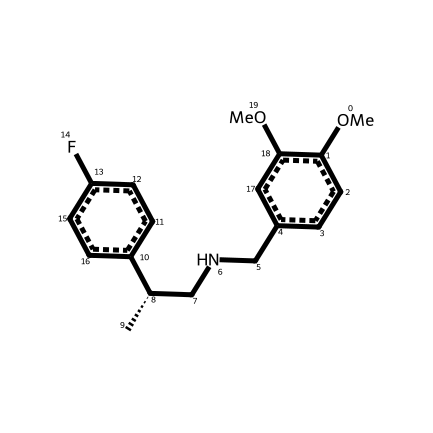 COc1ccc(CNC[C@H](C)c2ccc(F)cc2)cc1OC